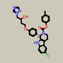 Cc1ccc(OC(=O)N2CCC3=C(NC4C=CC(Cl)=CC34)[C@@H]2c2ccc(OCCC(O)Cn3cncn3)cc2)cc1